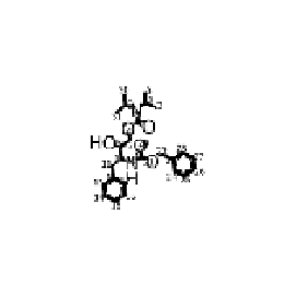 CC(C)N(C(=O)OC[C@H](O)[C@H](Cc1ccccc1)NC(=O)OCc1ccccc1)C(C)C